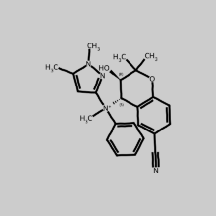 Cc1cc([N+](C)(c2ccccc2)[C@H]2c3cc(C#N)ccc3OC(C)(C)[C@@H]2O)nn1C